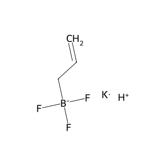 C=CC[B-](F)(F)F.[H+].[K]